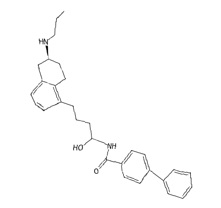 CCCN[C@H]1CCc2c(CCCC(O)NC(=O)c3ccc(-c4ccccc4)cc3)cccc2C1